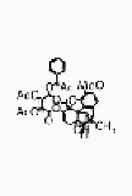 COc1ccc2c3c1O[C@H]1C(OC(=O)[C@H](OC(C)=O)[C@@H](OC(C)=O)C(=O)O[C@H](C(C)=O)c4ccccc4)=CC[C@@]4(O)[C@@H](C2)N(C)CC[C@]314